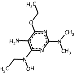 CCOc1nc(N(C)C)nc(N(O)CC)c1N